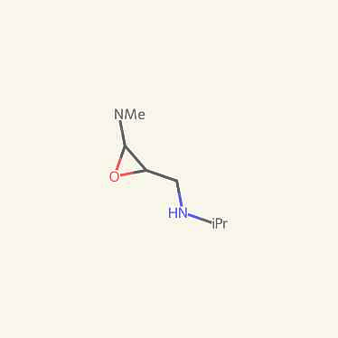 CNC1OC1CNC(C)C